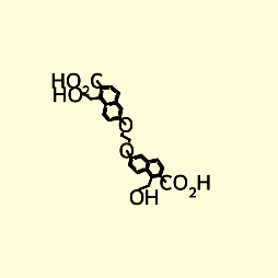 O=C(O)c1ccc2cc(OCCOc3ccc4c(CCO)c(C(=O)O)ccc4c3)ccc2c1CCO